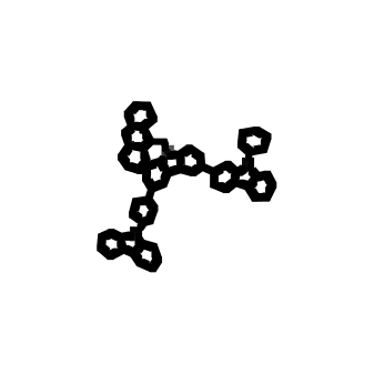 c1ccc(-n2c3ccccc3c3ccc(-c4ccc5c(c4)c4cc(-c6ccc(-n7c8ccccc8c8ccccc87)cc6)ccc4n5Cc4c5ccccc5cc5ccccc45)cc32)cc1